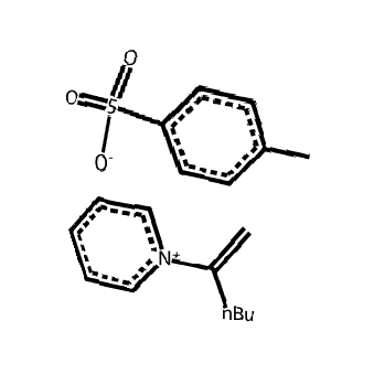 C=C(CCCC)[n+]1ccccc1.Cc1ccc(S(=O)(=O)[O-])cc1